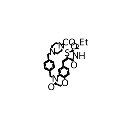 CCOC(=O)N1CCN(Cc2ccc(CN3C(=O)COc4ccc(C=C5SC(=O)NC5=O)cc43)cc2)CC1